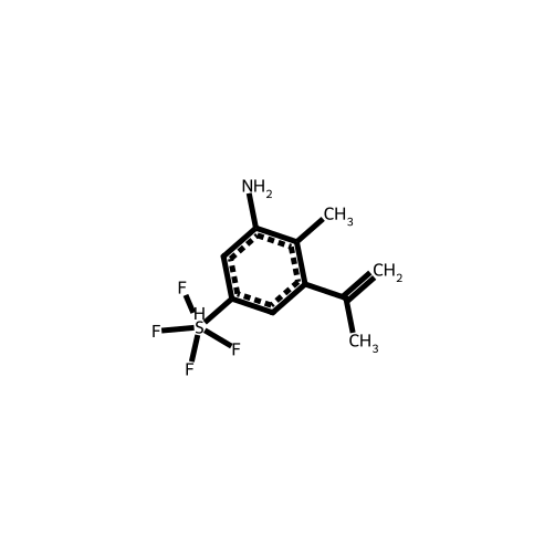 C=C(C)c1cc([SH](F)(F)(F)F)cc(N)c1C